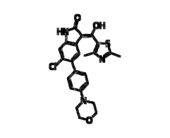 Cc1nc(C)c(C(O)=C2C(=O)Nc3cc(Cl)c(-c4ccc(N5CCOCC5)cc4)cc32)s1